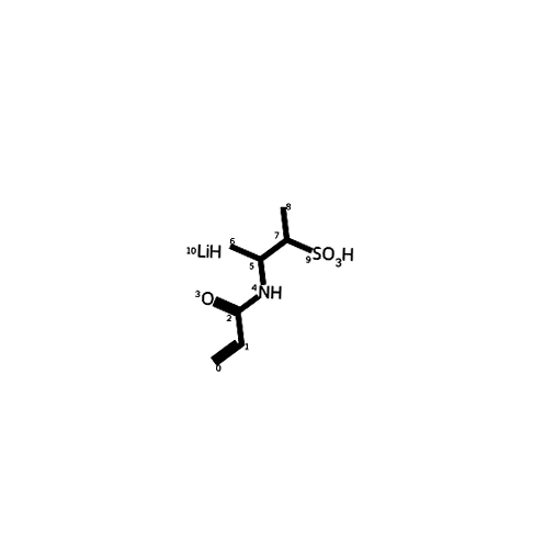 C=CC(=O)NC(C)C(C)S(=O)(=O)O.[LiH]